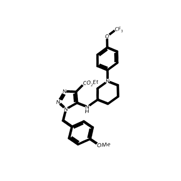 CCOC(=O)c1nnn(Cc2ccc(OC)cc2)c1NC1CCCN(c2ccc(OC(F)(F)F)cc2)C1